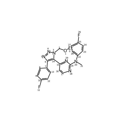 CCOCn1nnc(-c2ccc(F)cc2)c1-c1ccnc(N(C)c2ccc(F)cc2)n1